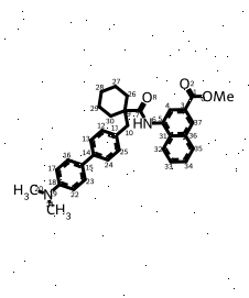 COC(=O)c1cc(NC(=O)C2(Cc3ccc(-c4ccc(N(C)C)cc4)cc3)CCCCC2)c2ccccc2c1